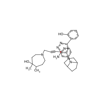 CC1CCN(CC#Cc2cc(N3C4CCC3CN(c3cc(-c5ccccc5O)nnc3N)C4)ccn2)CCC1(C)O